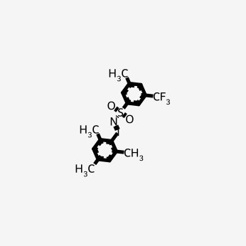 Cc1cc(C(F)(F)F)cc(S(=O)(=O)/N=I/c2c(C)cc(C)cc2C)c1